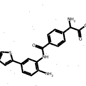 Nc1ccc(-c2cccs2)cc1NC(=O)c1ccc(C(N)C(=O)O)cc1